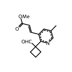 COC(=O)C=Cc1cc(C)cnc1C1(C=O)CCC1